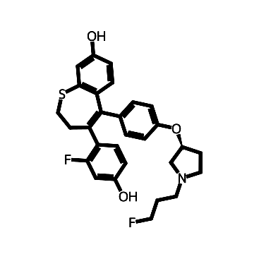 Oc1ccc(C2=C(c3ccc(O[C@H]4CCN(CCCF)C4)cc3)c3ccc(O)cc3SCC2)c(F)c1